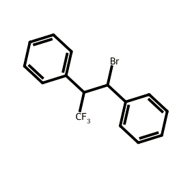 FC(F)(F)C(c1ccccc1)C(Br)c1ccccc1